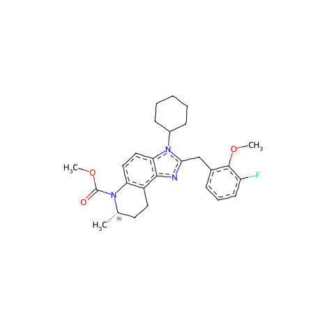 COC(=O)N1c2ccc3c(nc(Cc4cccc(F)c4OC)n3C3CCCCC3)c2CC[C@@H]1C